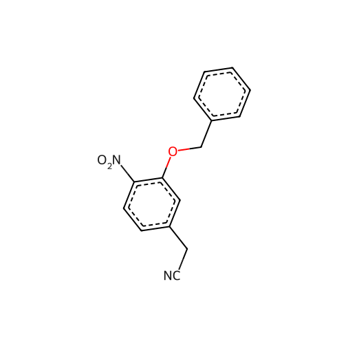 N#CCc1ccc([N+](=O)[O-])c(OCc2ccccc2)c1